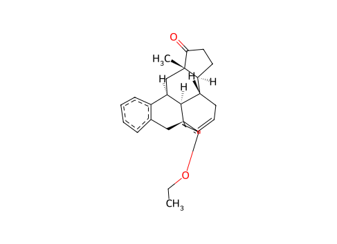 CCOC1=CC2=CC[C@@H]3[C@@H]4[C@H](C[C@]5(C)C(=O)CC[C@@H]35)c3ccccc3C[C@]24CC1